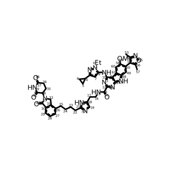 CCn1nc(C2CC2)cc1Nc1nc(C(=O)NCCc2cnc(CCCCc3cccc4c3CN(C3CCC(=O)NC3=O)C4=O)[nH]2)nc2[nH]c3cc(-c4c(C)noc4C)c(OC)cc3c12